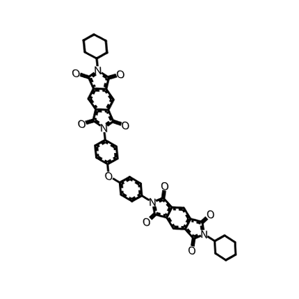 O=c1c2cc3c(=O)n(C4CCCCC4)c(=O)c3cc2c(=O)n1-c1ccc(Oc2ccc(-n3c(=O)c4cc5c(=O)n(C6CCCCC6)c(=O)c5cc4c3=O)cc2)cc1